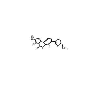 C=CC1CC=C(c2ccc3c(c2F)C(F)C(F)c2c-3ccc(OCC)c2F)CC1